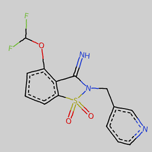 N=C1c2c(OC(F)F)cccc2S(=O)(=O)N1Cc1cccnc1